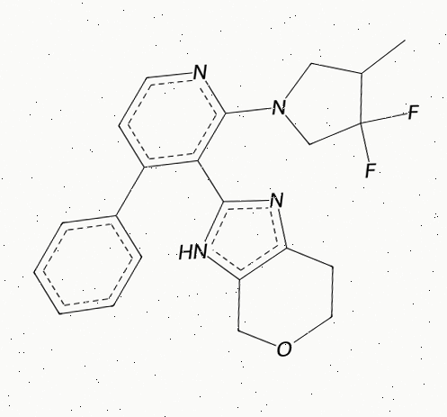 CC1CN(c2nccc(-c3ccccc3)c2-c2nc3c([nH]2)COCC3)CC1(F)F